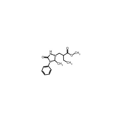 CCC(CN1NC(=O)N(c2ccccc2)C1C)C(=O)OC